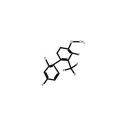 COC1=C(F)C(C(F)(F)F)=C(c2ccc(F)cc2F)C[CH]1